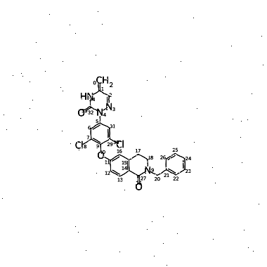 C=C1C=NN(c2cc(Cl)c(Oc3ccc4c(c3)CCN(Cc3ccccc3)C4=O)c(Cl)c2)C(=O)N1